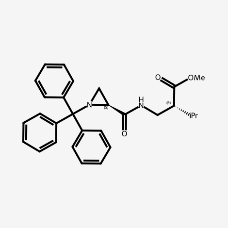 COC(=O)[C@@H](CNC(=O)[C@@H]1CN1C(c1ccccc1)(c1ccccc1)c1ccccc1)C(C)C